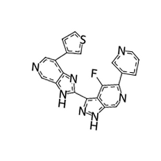 Fc1c(-c2cccnc2)ncc2[nH]nc(-c3nc4c(-c5ccsc5)cncc4[nH]3)c12